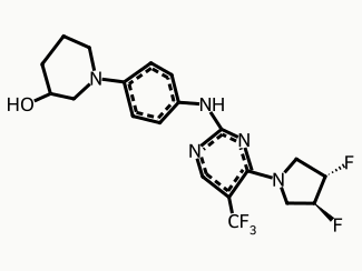 OC1CCCN(c2ccc(Nc3ncc(C(F)(F)F)c(N4C[C@H](F)[C@@H](F)C4)n3)cc2)C1